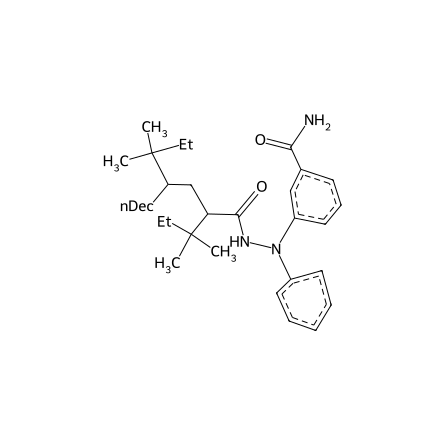 CCCCCCCCCCC(CC(C(=O)NN(c1ccccc1)c1cccc(C(N)=O)c1)C(C)(C)CC)C(C)(C)CC